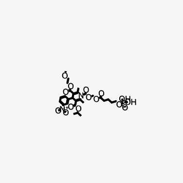 COCCOC(=O)C1=C(C)N(C(=O)OCOC(=O)CCCCOP(=O)(O)O)C(C)=C(C(=O)OC(C)C)C1c1cccc([N+](=O)[O-])c1